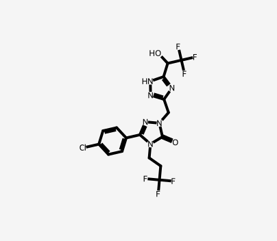 O=c1n(Cc2n[nH]c(C(O)C(F)(F)F)n2)nc(-c2ccc(Cl)cc2)n1CCC(F)(F)F